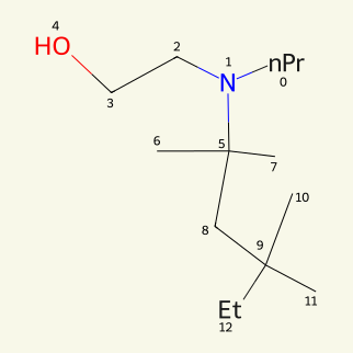 CCCN(CCO)C(C)(C)CC(C)(C)CC